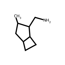 CC1CC2CCC2C1CN